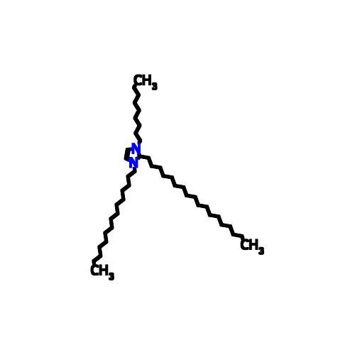 CCCCCCCCCCCCCCCCCCC1N(CCCCCCCCC)C=CN1CCCCCCCCCCCCCCC